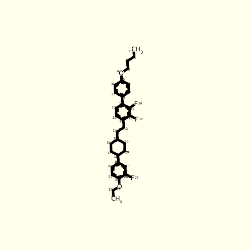 CCCCOc1ccc(-c2ccc(CCC3CCC(c4ccc(OCC)c(F)c4)CC3)c(F)c2F)cc1